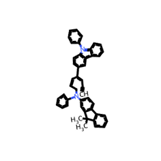 C#C/C=C(\C=C/CN(c1ccccc1)c1ccc2c(c1)C(C)(C)c1ccccc1-2)c1ccc2c(c1)c1ccccc1n2-c1ccccc1